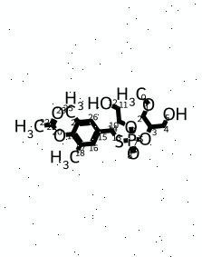 COCC(CO)OP(=O)(OCCO)SCc1cc(C)c(OC(C)=O)c(C)c1